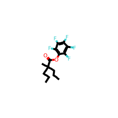 CCCC(C)(CCC)C(=O)Oc1c(F)c(F)c(F)c(F)c1F